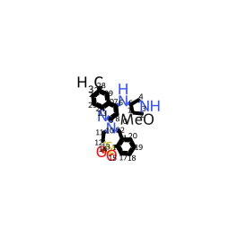 COC1CNCC1Nc1cc(N2CCS(=O)(=O)c3ccccc3C2)nc2ccc(C)cc12